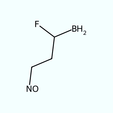 BC(F)CCN=O